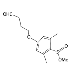 COS(=O)c1c(C)cc(OCCCC=O)cc1C